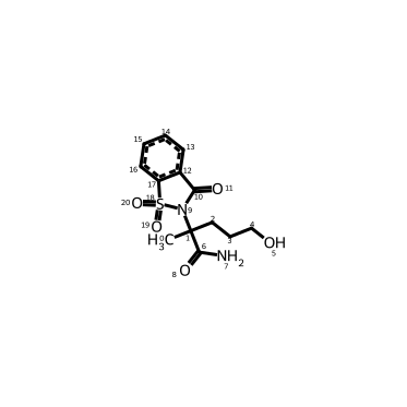 CC(CCCO)(C(N)=O)N1C(=O)c2ccccc2S1(=O)=O